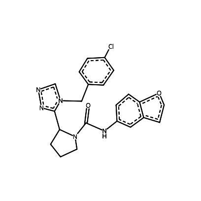 O=C(Nc1ccc2occc2c1)N1CCCC1c1nncn1Cc1ccc(Cl)cc1